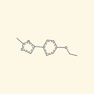 CCOc1ccc(-c2coc(C)n2)cc1